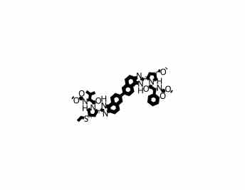 CCS[C@H]1C[C@@H](c2nc3ccc4cc(-c5ccc6c(ccc7nc([C@@H]8C[C@H](COC)CN8C(=O)[C@H](NC(=O)OC)c8ccccc8)[nH]c76)c5)ccc4c3[nH]2)N(C(=O)C(NC(=O)OC)C(C)C)C1